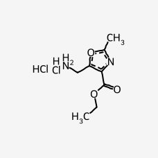 CCOC(=O)c1nc(C)oc1CN.Cl.Cl